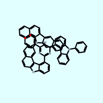 c1ccc(C2=NC(c3cccc4oc5ccc6ccc(-n7c8cc9ccccc9cc8c8ccc9ccccc9c87)cc6c5c34)=NC(c3cccc4c3c3ccccc3n4-c3ccccc3)N2)cc1